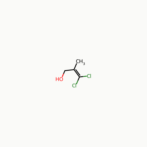 CC(CO)=C(Cl)Cl